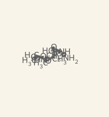 CC(=O)O[C@@H](C)C=CC(=O)N[C@@H]1C[C@H](C)[C@H](CC=C(C)C=C[C@H]2O[C@H](CC(=O)N[C@H]3CC[C@H](N)CC3)C[C@@]3(CO3)[C@@H]2O)O[C@@H]1C